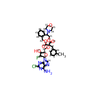 Cc1cccc(CC(OC[C@H]2O[C@@H](n3cnc4c(N)nc(Cl)nc43)[C@@H](F)[C@@H]2O)(C(=O)OCCN2CCOCC2)C(=O)OCc2ccccc2)c1